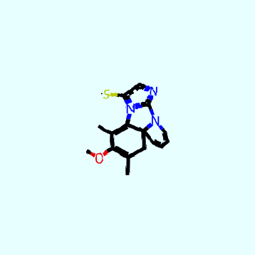 COC1=C(C)CC23C=CC=CN2c2ncc([S])n2C3=C1C